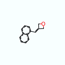 C(=C1COC1)c1cccc2ccccc12